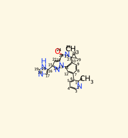 Cc1ncccc1-c1ccc2c(c1)-n1nc(-c3cnc[nH]3)cc1C(=O)N(C)C21CC1